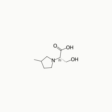 CC1CCN([C@@H](CO)C(=O)O)C1